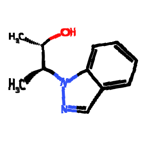 C[C@H](O)[C@H](C)n1ncc2ccccc21